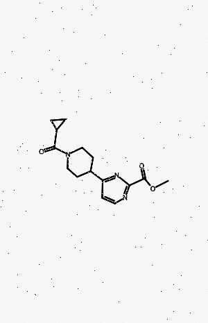 COC(=O)c1nccc(C2CCN(C(=O)C3CC3)CC2)n1